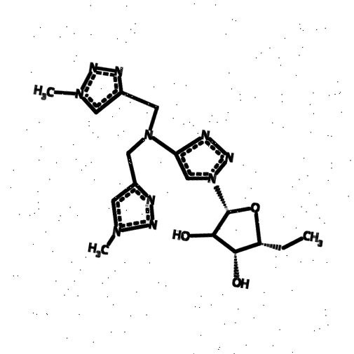 CC[C@H]1O[C@@H](n2cc(N(Cc3cn(C)nn3)Cc3cn(C)nn3)nn2)C(O)[C@H]1O